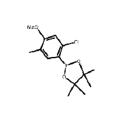 COc1cc(Cl)c(B2OC(C)(C)C(C)(C)O2)cc1C